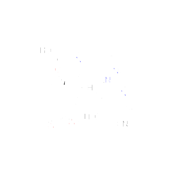 Cc1cc(-n2cc(CN3CC(C)O[C@H](c4ccc5c(c4C)COC5=O)C3)cn2)ncc1C#N